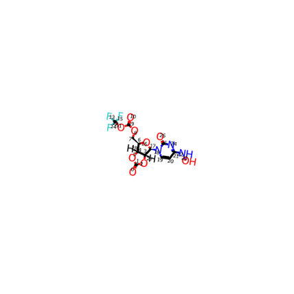 O=C1O[C@@H]2[C@H](O1)[C@@H](COC(=O)OC(F)(F)F)O[C@H]2n1ccc(NO)nc1=O